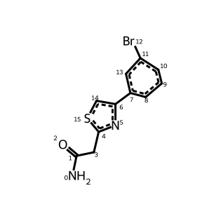 NC(=O)Cc1nc(-c2cccc(Br)c2)cs1